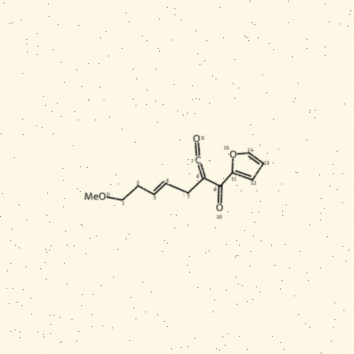 COCCC=CCC(=C=O)C(=O)c1ccco1